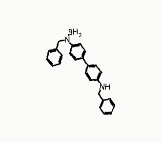 BN(Cc1ccccc1)c1ccc(-c2ccc(NCc3ccccc3)cc2)cc1